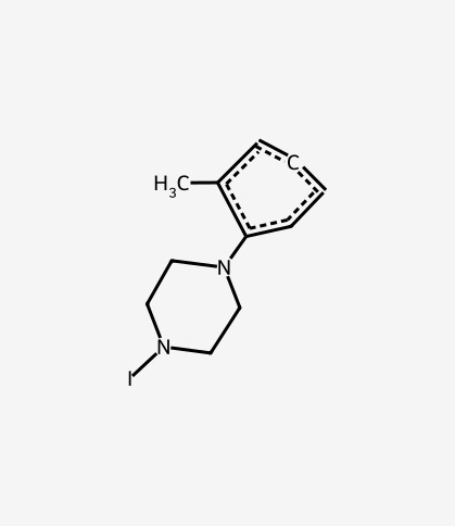 Cc1ccccc1N1CCN(I)CC1